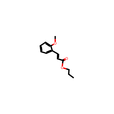 CCCOC(=O)C=Cc1ccccc1OC